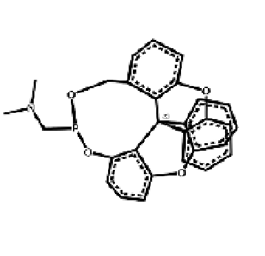 CN(C)CP1OCc2cccc3c2[C@]2(c4ccccc4O3)c3ccccc3Oc3cccc(c32)O1